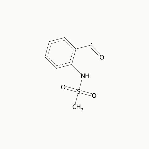 CS(=O)(=O)Nc1ccccc1[C]=O